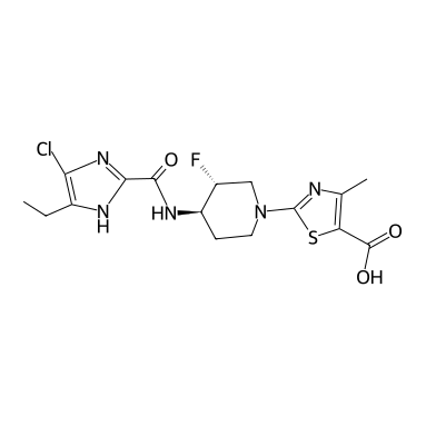 CCc1[nH]c(C(=O)N[C@@H]2CCN(c3nc(C)c(C(=O)O)s3)C[C@H]2F)nc1Cl